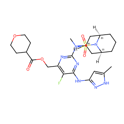 CCS(=O)(=O)N1[C@@H]2CCC[C@H]1C[C@@H](N(C)c1nc(COC(=O)C3CCOCC3)c(F)c(Nc3cc(C)[nH]n3)n1)C2